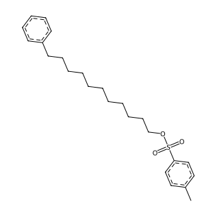 Cc1ccc(S(=O)(=O)OCCCCCCCCCCCc2ccccc2)cc1